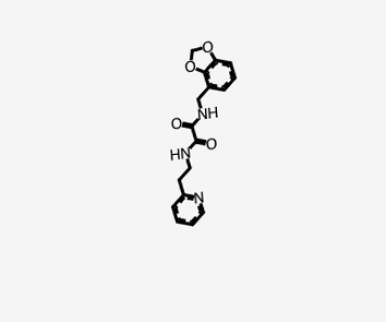 O=C(NCCc1ccccn1)C(=O)NCc1cccc2c1OCO2